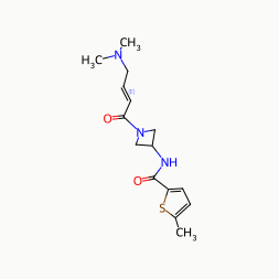 Cc1ccc(C(=O)NC2CN(C(=O)/C=C/CN(C)C)C2)s1